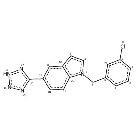 Clc1cccc(Cn2ccc3cc(-c4nn[nH]n4)ccc32)c1